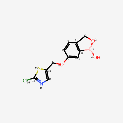 OB1OCc2ccc(OCc3cnc(Cl)s3)cc21